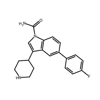 NC(=O)n1cc(C2CCNCC2)c2cc(-c3ccc(F)cc3)ccc21